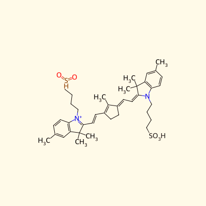 CC1=C(/C=C/C2=[N+](CCCC[SH](=O)=O)c3ccc(C)cc3C2(C)C)CC/C1=C\C=C1\N(CCCCS(=O)(=O)O)c2ccc(C)cc2C1(C)C